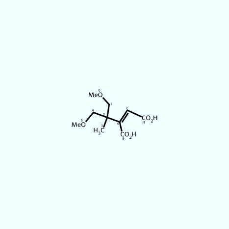 COCC(C)(COC)C(=CC(=O)O)C(=O)O